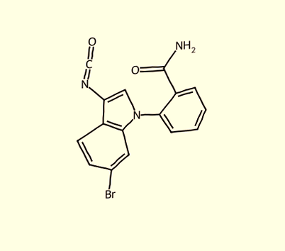 NC(=O)c1ccccc1-n1cc(N=C=O)c2ccc(Br)cc21